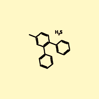 Cc1ccc(-c2ccccc2)c(-c2ccccc2)c1.S